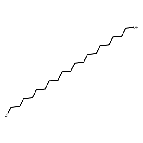 OCCCCCCCCCCCCCCCCCCCCl